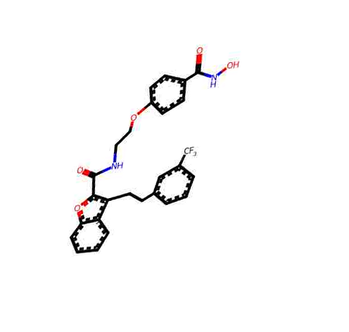 O=C(NO)c1ccc(OCCNC(=O)c2oc3ccccc3c2CCc2cccc(C(F)(F)F)c2)cc1